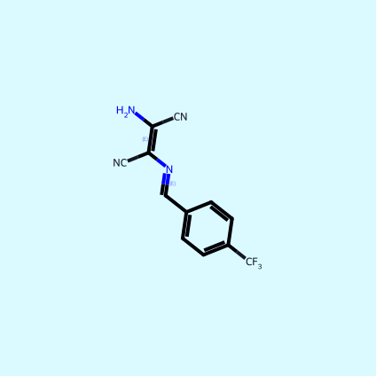 N#C/C(N)=C(C#N)\N=C\c1ccc(C(F)(F)F)cc1